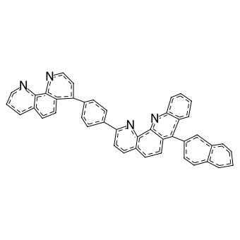 c1ccc2cc(-c3c4ccccc4nc4c3ccc3ccc(-c5ccc(-c6ccnc7c6ccc6cccnc67)cc5)nc34)ccc2c1